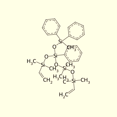 C=C[Si](C)(C)O[Si](C)(C)O[Si](O[Si](C)(C)C=C)(O[Si](C)(c1ccccc1)c1ccccc1)c1ccccc1